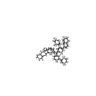 C1=c2ccccc2=CC2c3cc(N(c4cccc(-c5ccccc5)c4)c4ccc(-c5ccc6ccccc6c5)c(-c5ccccc5)c4)ncc3OC12